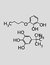 CC(C)(C)c1cc(O)c(O)c(O)c1.CCCCOc1cccc(O)c1O